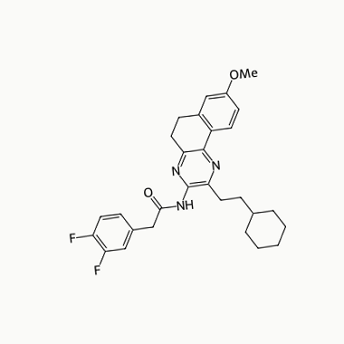 COc1ccc2c(c1)CCc1nc(NC(=O)Cc3ccc(F)c(F)c3)c(CCC3CCCCC3)nc1-2